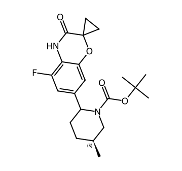 C[C@H]1CCC(c2cc(F)c3c(c2)OC2(CC2)C(=O)N3)N(C(=O)OC(C)(C)C)C1